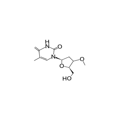 C=C1NC(=O)N([C@H]2CC(OC)[C@@H](CO)O2)C=C1C